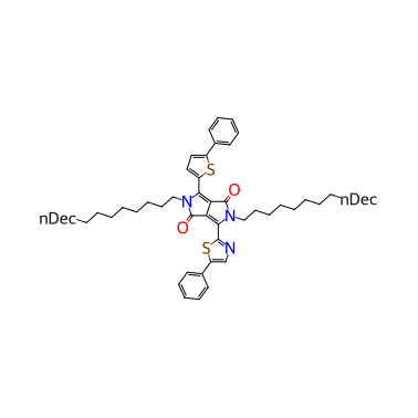 CCCCCCCCCCCCCCCCCCN1C(=O)C2=C(c3ncc(-c4ccccc4)s3)N(CCCCCCCCCCCCCCCCCC)C(=O)C2=C1c1ccc(-c2ccccc2)s1